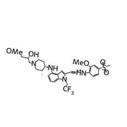 COCC(O)CN1CC[C@@H](Nc2cccc3c2cc(C#CCNc2ccc(S(C)(=O)=O)cc2OC)n3CC(F)(F)F)[C@H](C)C1